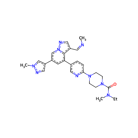 CCN(C)C(=O)N1CCN(c2ccc(-c3cc(-c4cnn(C)c4)cn4ncc(/C=N\C)c34)cn2)CC1